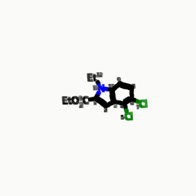 CCOC(=O)c1cc2c(Cl)c(Cl)ccc2n1CC